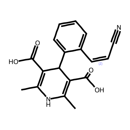 CC1=C(C(=O)O)C(c2ccccc2/C=C\C#N)C(C(=O)O)=C(C)N1